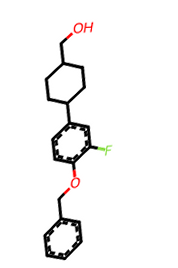 OCC1CCC(c2ccc(OCc3ccccc3)c(F)c2)CC1